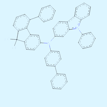 CC1(C)c2ccc(N(c3ccc(-c4ccccc4)cc3)c3ccc4c5ccccc5n(-c5ccccc5)c4c3)cc2-c2c(-c3ccccc3)cccc21